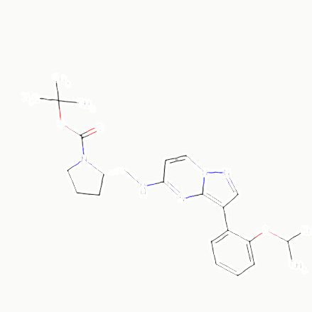 CC(C)Oc1ccccc1-c1cnn2ccc(NC[C@@H]3CCCN3C(=O)OC(C)(C)C)nc12